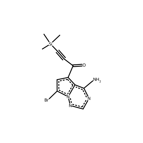 C[Si](C)(C)C#CC(=O)c1cc(Br)n2ncnc(N)c12